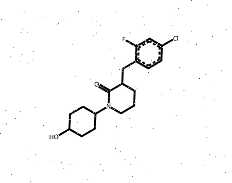 O=C1C(Cc2ccc(Cl)cc2F)CCCN1C1CCC(O)CC1